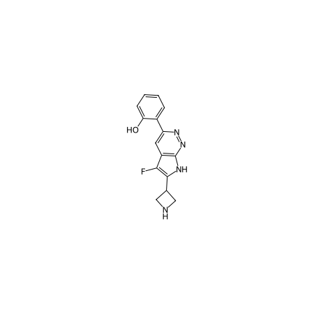 Oc1ccccc1-c1cc2c(F)c(C3CNC3)[nH]c2nn1